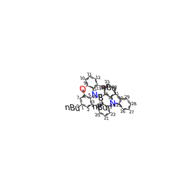 CCCCc1cc(CCCC)c2c(c1)Oc1cccc(CCCC)c1N2B1c2ccccc2-n2c3ccccc3c3cccc1c32